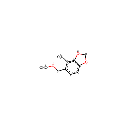 O=[C]OCc1ccc2c(c1[N+](=O)[O-])OCO2